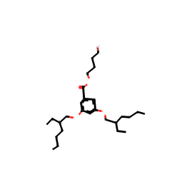 CCCCC(CC)COc1cc(OCC(CC)CCCC)cc(C(=O)OCCCCBr)c1